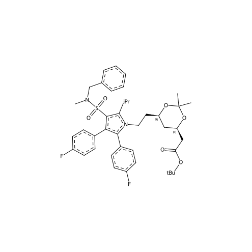 CC(C)c1c(S(=O)(=O)N(C)Cc2ccccc2)c(-c2ccc(F)cc2)c(-c2ccc(F)cc2)n1CC[C@@H]1C[C@H](CC(=O)OC(C)(C)C)OC(C)(C)O1